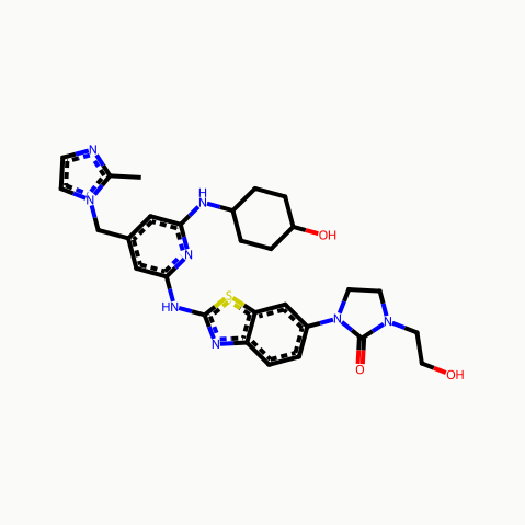 Cc1nccn1Cc1cc(Nc2nc3ccc(N4CCN(CCO)C4=O)cc3s2)nc(NC2CCC(O)CC2)c1